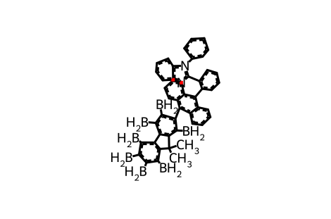 Bc1c(B)c(B)c2c(c1B)-c1c(B)c(B)c(-c3c4ccccc4c(-c4ccccc4-c4nc5ccccc5n4-c4ccccc4)c4ccccc34)c(B)c1C2(C)C